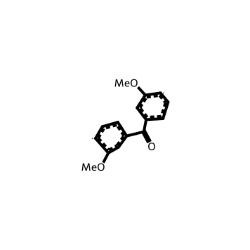 COc1[c]ccc(C(=O)c2cc[c]c(OC)c2)c1